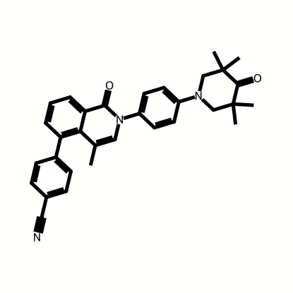 Cc1cn(-c2ccc(N3CC(C)(C)C(=O)C(C)(C)C3)cc2)c(=O)c2cccc(-c3ccc(C#N)cc3)c12